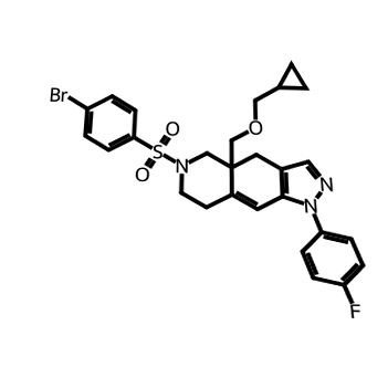 O=S(=O)(c1ccc(Br)cc1)N1CCC2=Cc3c(cnn3-c3ccc(F)cc3)CC2(COCC2CC2)C1